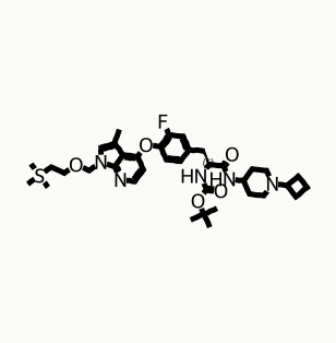 Cc1cn(COCCS(C)(C)C)c2nccc(Oc3ccc(C[C@H](NC(=O)OC(C)(C)C)C(=O)NC4CCN(C5CCC5)CC4)cc3F)c12